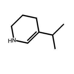 CC(C)C1=CNCCC1